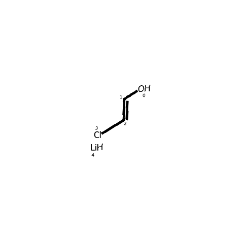 OC=CCl.[LiH]